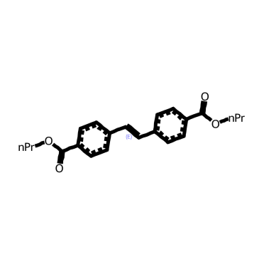 CCCOC(=O)c1ccc(/C=C/c2ccc(C(=O)OCCC)cc2)cc1